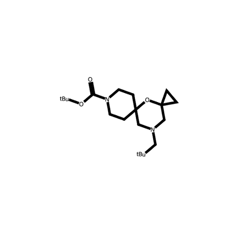 CC(C)(C)CN1CC2(CCN(C(=O)OC(C)(C)C)CC2)OC2(CC2)C1